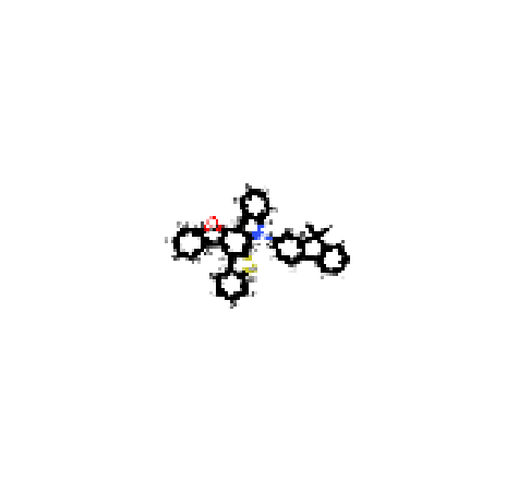 CC1(C)c2ccccc2-c2ccc(-n3c4ccccc4c4c5oc6ccccc6c5c5c6ccccc6sc5c43)cc21